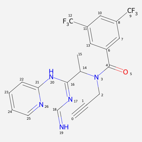 C#CCN(C(=O)c1cc(C(F)(F)F)cc(C(F)(F)F)c1)C(C)/C(=N/C=N)Nc1ccccn1